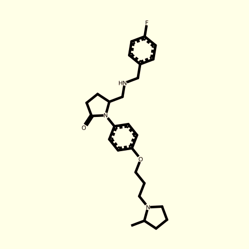 CC1CCCN1CCCOc1ccc(N2C(=O)CCC2CNCc2ccc(F)cc2)cc1